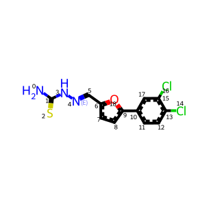 NC(=S)N/N=C/c1ccc(-c2ccc(Cl)c(Cl)c2)o1